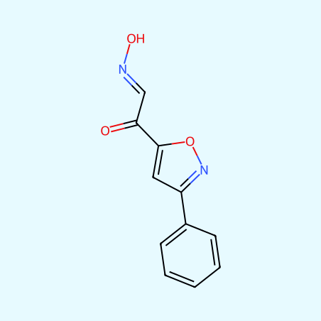 O=C(C=NO)c1cc(-c2ccccc2)no1